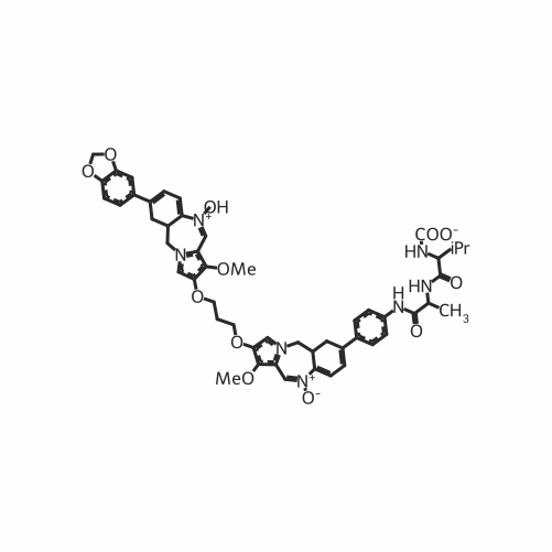 COc1c(OCCCOc2cn3c(c2OC)C=[N+](O)C2=CC=C(c4ccc5c(c4)OCO5)CC2C3)cn2c1C=[N+]([O-])C1=CC=C(c3ccc(NC(=O)C(C)NC(=O)C(NC(=O)[O-])C(C)C)cc3)CC1C2